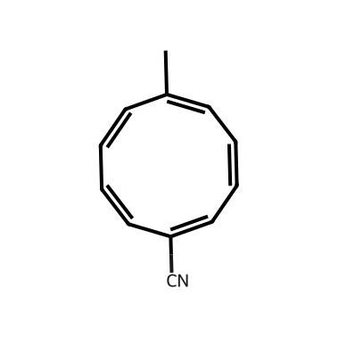 Cc1ccccc(C#N)cccc1